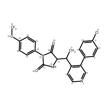 CC(c1ccncc1-c1ccc(Cl)cc1)C1NC(=O)N(c2ccc(OC(F)(F)F)cc2)C1=O